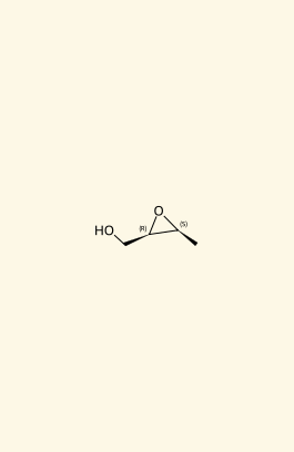 C[C@@H]1O[C@@H]1CO